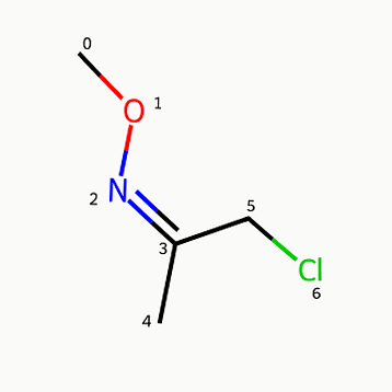 CON=C(C)CCl